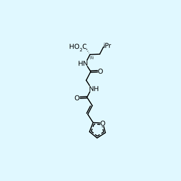 CC(C)C[C@H](NC(=O)CNC(=O)C=Cc1ccco1)C(=O)O